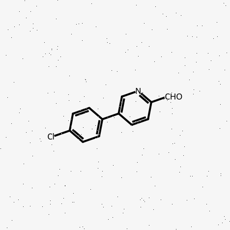 O=Cc1ccc(-c2ccc(Cl)cc2)cn1